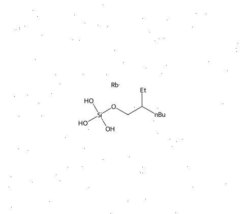 CCCCC(CC)CO[Si](O)(O)O.[Rb]